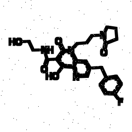 O=C(NCCO)c1c(O)c2ncc(Cc3ccc(F)cc3)cc2n(CCCN2CCCC2=O)c1=O